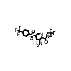 Nc1cc(S(=O)(=O)c2ccc(C(F)(F)F)cc2)cnc1C(=O)N1CC(F)(F)C1